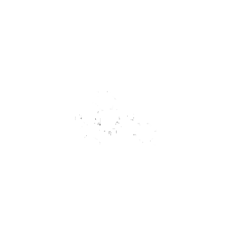 O=C(Oc1ccccc1)c1ccccc1N1C(=O)C=CC1=O